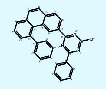 Clc1nc(-c2ccccc2)nc(-c2ccc3ccc4cccc(-c5ccccc5)c4c3c2)n1